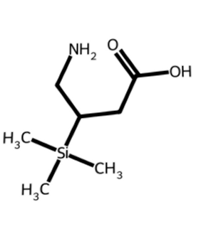 C[Si](C)(C)C(CN)CC(=O)O